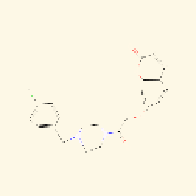 O=C(COc1ccc2ccc(=O)oc2c1)N1CCN(Cc2ccc(Cl)cc2)CC1